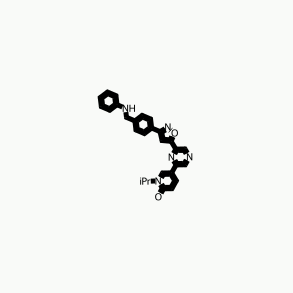 CC(C)n1cc(-c2cncc(-c3cc(-c4ccc(CNc5ccccc5)cc4)no3)n2)ccc1=O